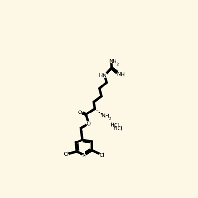 Cl.Cl.N=C(N)NCCCC[C@H](N)C(=O)OCc1cc(Cl)nc(Cl)c1